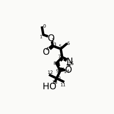 CCOC(=O)C(C)c1cc(C(C)(C)O)on1